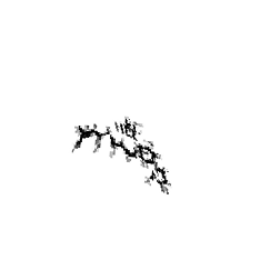 Br.CC(C)=CCCCCC[n+]1cccc([C@@H]2CCCN2C)c1.[Br-]